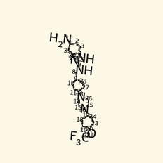 Nc1ccc2[nH]c(NCc3ccc(N4CCN(c5ccc(OC(F)(F)F)cc5)CC4)cc3)nc2c1